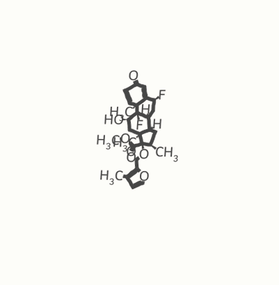 COC(=O)[C@@]1(OC(=O)c2occc2C)[C@H](C)C[C@H]2[C@@H]3C[C@H](F)C4=CC(=O)C=C[C@]4(C)[C@@]3(F)[C@@H](O)C[C@@]21C